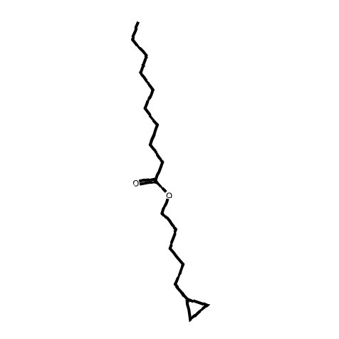 CCCCCCCCCC(=O)OCCCCCC1CC1